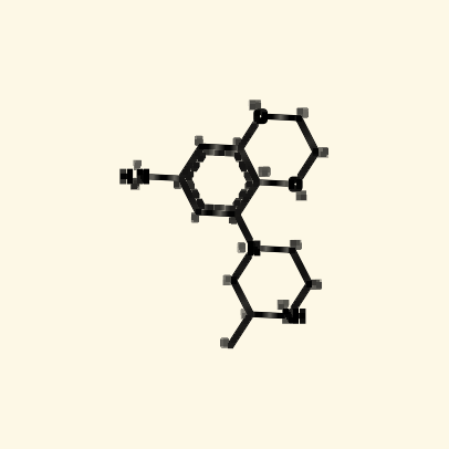 CC1CN(c2cc(N)cc3c2OCCO3)CCN1